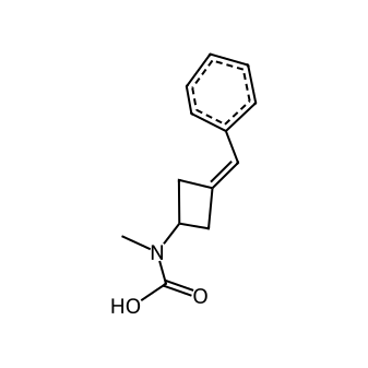 CN(C(=O)O)C1CC(=Cc2ccccc2)C1